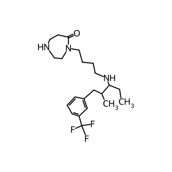 CCC(NCCCCN1CCNCCC1=O)C(C)Cc1cccc(C(F)(F)F)c1